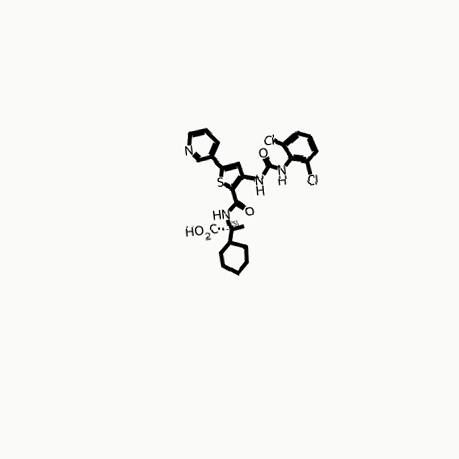 C[C@@](NC(=O)c1sc(-c2cccnc2)cc1NC(=O)Nc1c(Cl)cccc1Cl)(C(=O)O)C1CCCCC1